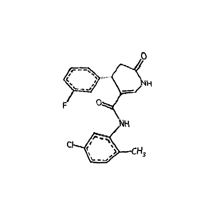 Cc1ccc(Cl)cc1NC(=O)C1=CNC(=O)C[C@H]1c1cccc(F)c1